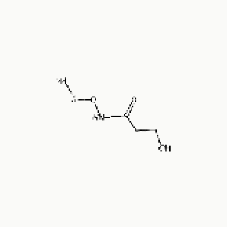 [3H]SONC(=O)CCO